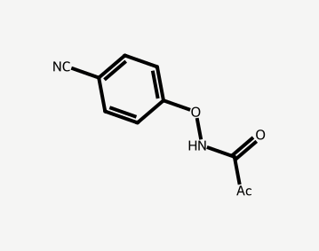 CC(=O)C(=O)NOc1ccc(C#N)cc1